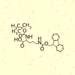 CC(C)(C)OC(=O)NC(CCCNC(=O)OCC1c2ccccc2-c2ccccc21)C(=O)O